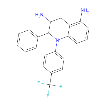 Nc1cccc2c1CC(N)C(c1ccccc1)N2c1ccc(C(F)(F)F)cc1